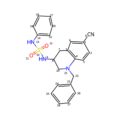 N#Cc1ccc2c(c1)CC(NS(=O)(=O)Nc1ccccc1)CN2Cc1ccccc1